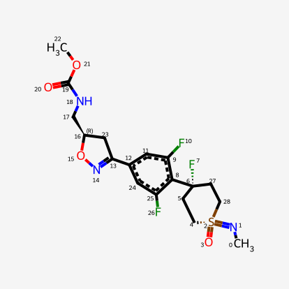 CN=[S@]1(=O)CC[C@@](F)(c2c(F)cc(C3=NO[C@@H](CNC(=O)OC)C3)cc2F)CC1